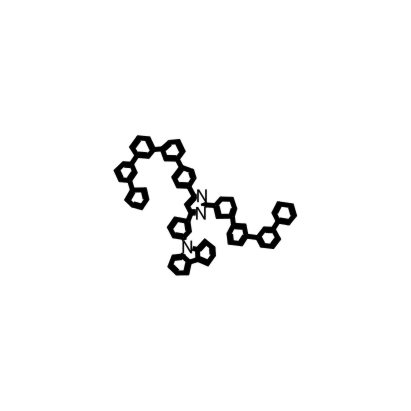 C1=C(c2cccc(-c3cccc(-c4ccccc4)c3)c2)C=C(c2nc(-c3ccc(-c4cccc(-c5cccc(-c6cccc(-c7ccccc7)c6)c5)c4)cc3)cc(-c3cccc(-n4c5ccccc5c5ccccc54)c3)n2)CC1